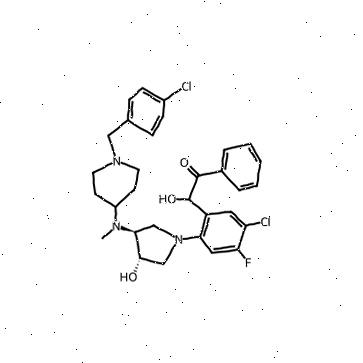 CN(C1CCN(Cc2ccc(Cl)cc2)CC1)[C@H]1CN(c2cc(F)c(Cl)cc2C(O)C(=O)c2ccccc2)C[C@@H]1O